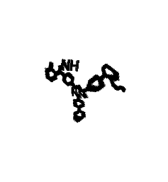 C=C/C=C\C1=CCCC=C1c1ccc(-c2cc(C3C=CC(/C(C=N)=c4\ccccc4=C)=CC3)nc(-c3ccc(-c4ccccc4)cc3)n2)cc1